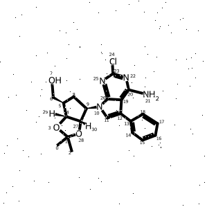 CC1(C)O[C@@H]2[C@@H](CO)C[C@@H](n3cc(-c4ccccc4)c4c(N)nc(Cl)nc43)[C@@H]2O1